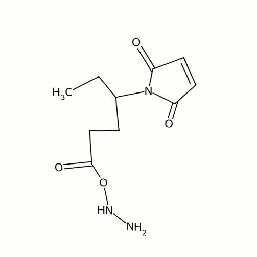 CCC(CCC(=O)ONN)N1C(=O)C=CC1=O